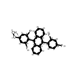 COc1cc(F)c(-c2c3ccccc3c(-c3ccc(F)cc3F)c3ccccc23)c(F)c1